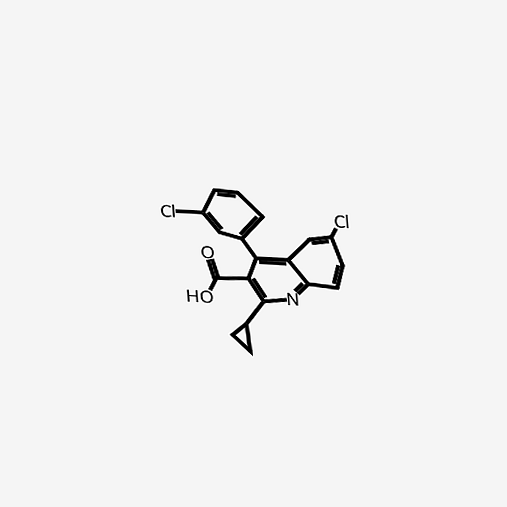 O=C(O)c1c(C2CC2)nc2ccc(Cl)cc2c1-c1cccc(Cl)c1